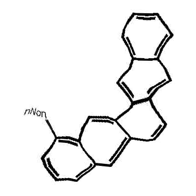 CCCCCCCCCc1cccc2cc3ccc4cc5ccccc5cc4c3cc12